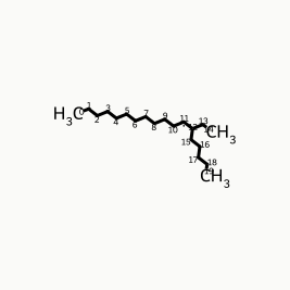 CCCCCCCCCCC[CH]C(CC)CCCCC